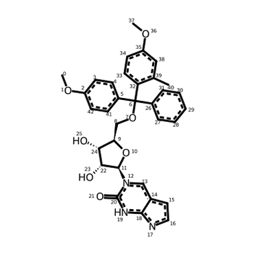 COc1ccc(C(OC[C@H]2O[C@@H](n3cc4ccnc-4[nH]c3=O)[C@H](O)[C@@H]2O)(c2ccccc2)c2ccc(OC)cc2C)cc1